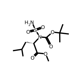 COC(=O)[C@H](CC(C)C)N(C(=O)OC(C)(C)C)S(N)(=O)=O